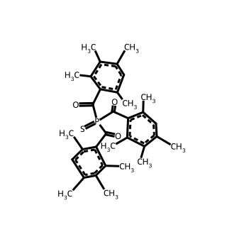 Cc1cc(C)c(C(=O)P(=S)(C(=O)c2c(C)cc(C)c(C)c2C)C(=O)c2c(C)cc(C)c(C)c2C)c(C)c1C